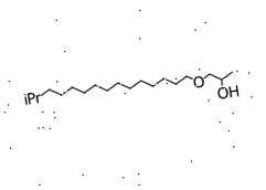 [CH2]C(O)COCCCCCCCCCCCCCC(C)C